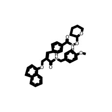 COc1ccc(CNC(=O)C(=Cc2ccc(C(=O)NOC3CCCCO3)cc2)COc2cccc3ccccc23)cc1